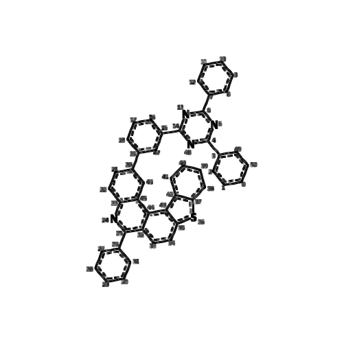 c1ccc(-c2nc(-c3ccccc3)nc(-c3cccc(-c4ccc5nc(-c6ccccc6)c6ccc7sc8ccccc8c7c6c5c4)c3)n2)cc1